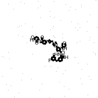 O=C1CCC(N2Cc3ccc(N4CC(CN5CCN(c6ccc(C(=O)Nc7n[nH]c8ccc(Cc9cc(F)cc(F)c9)cc78)c(NC7CCOCC7)c6)CC5)C4)cc3C2=O)C(=O)N1